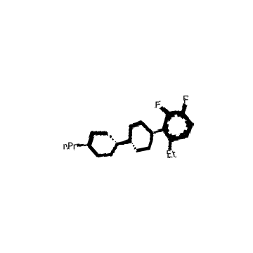 CCC[C@H]1CC[C@H]([C@H]2CC[C@H](c3c(CC)ccc(F)c3F)CC2)CC1